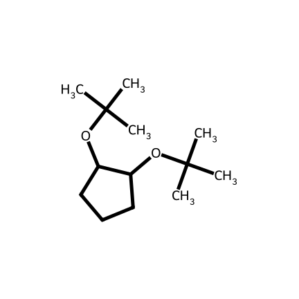 CC(C)(C)OC1CCCC1OC(C)(C)C